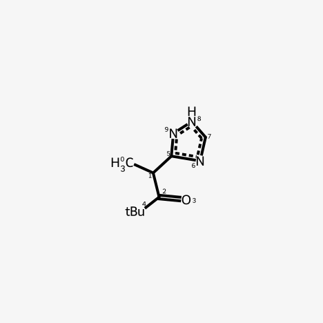 CC(C(=O)C(C)(C)C)c1nc[nH]n1